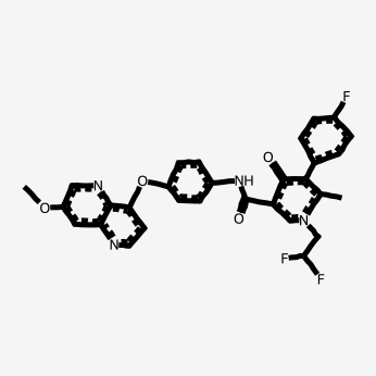 COc1cnc2c(Oc3ccc(NC(=O)c4cn(CC(F)F)c(C)c(-c5ccc(F)cc5)c4=O)cc3)ccnc2c1